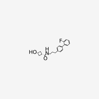 O=C(NCCCc1ccc(-c2ccccc2F)cc1)[C@H]1C[C@@H](O)C1